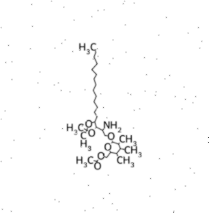 CCCCCCCCCCCCCCC1OC(C)(C)O[C@H]1[C@@H](N)CO[C@H]1OC(COC(C)=O)[C@H](C)[C@H](C)C1C